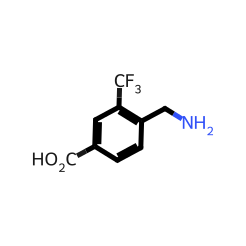 NCc1ccc(C(=O)O)cc1C(F)(F)F